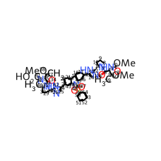 COC(=O)N[C@@H](C(=O)N1CCC[C@@H]1c1ncc(-c2ccc3c4ccc(-c5cnc([C@H]6CCCN6C(=O)[C@@H]([C@H](C)OC)N(C)C(=O)O)[nH]5)cc4n(S(=O)(=O)c4ccccc4)c3c2)[nH]1)[C@H](C)OC